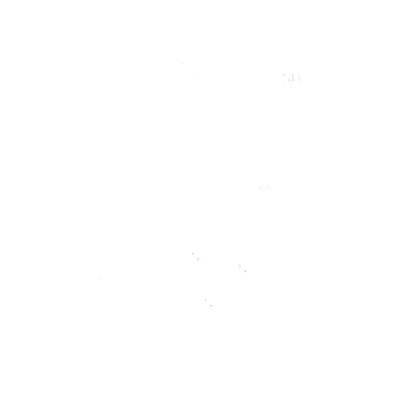 Cc1cnc(N(CCCOc2ccc3[nH]cc(CC(=O)O)c3c2)Cc2ccccc2C(F)(F)F)nc1